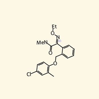 CCO/N=C(\C(=O)NC)c1ccccc1COc1ccc(Cl)cc1C